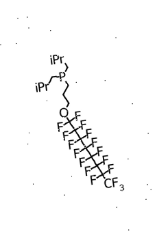 CC(C)CP(CCCOC(F)(F)C(F)(F)C(F)(F)C(F)(F)C(F)(F)C(F)(F)C(F)(F)C(F)(F)F)CC(C)C